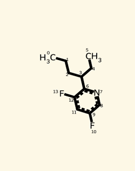 CCCC(CC)c1ncc(F)cc1F